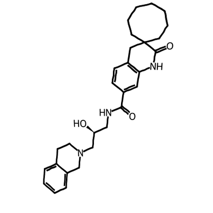 O=C(NC[C@H](O)CN1CCc2ccccc2C1)c1ccc2c(c1)NC(=O)C1(CCCCCCC1)C2